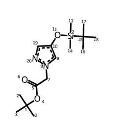 CC(C)(C)OC(=O)Cn1cc(O[Si](C)(C)C(C)(C)C)cn1